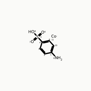 Nc1ccc(S(=O)(=O)O)cc1.[Co]